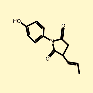 C/C=C/C1CC(=O)N(c2ccc(O)cc2)C1=O